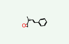 C[C@@H](C=Cc1ccccc1)C1CO1